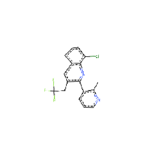 Cc1ncccc1-c1nc2c(Cl)cccc2cc1CC(F)(F)F